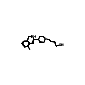 Cc1cccc2c1C=C(C1CCN(CCCCO)CC1)NC2